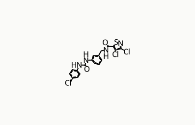 O=C(Nc1ccc(Cl)cc1)Nc1cccc(CNC(=O)c2snc(Cl)c2Cl)c1